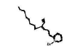 C=CC(CCCCCCCC)CCCc1cccc[n+]1Br